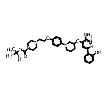 CC(C)(C)OC(=O)N1CCN(CCOc2ccc(N3CCCC(Oc4cc(-c5ccccc5O)nnc4N)C3)cc2)CC1